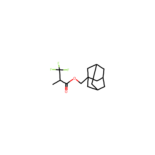 CC(C(=O)OCC12CC3CC(CC(C3)C1)C2)C(F)(F)F